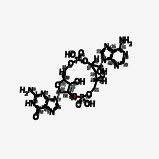 Nc1nc2c(ncn2[C@@H]2O[C@@H]3COP(=O)(O)O[C@H]4C(O)[C@@H](COP(=O)(O)O[C@H]2C3O)O[C@H]4n2cnc3c(N)ncnc32)c(=O)[nH]1